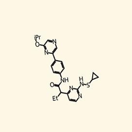 CCC(C(=O)Nc1ccc(-c2cncc(OC(C)C)n2)cc1)c1ccnc(NSC2CC2)n1